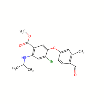 COC(=O)c1cc(Oc2ccc(C=O)c(C)c2)c(Br)cc1NC(C)C